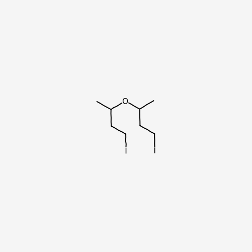 CC(CCI)OC(C)CCI